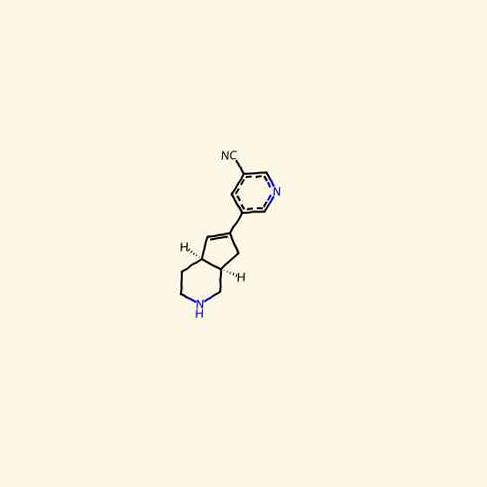 N#Cc1cncc(C2=C[C@@H]3CCNC[C@@H]3C2)c1